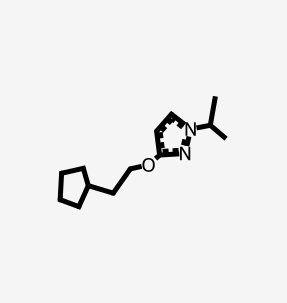 CC(C)n1ccc(OCCC2CCCC2)n1